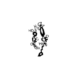 CC(C)(C)OC(=O)N1CCN(c2ccc(N)c(O)c2)C(=O)C1(C)C.Cn1c(=O)oc2cc(N3CCN(C(=O)NCCCCc4ccccc4)C(C)(C)C3=O)ccc21